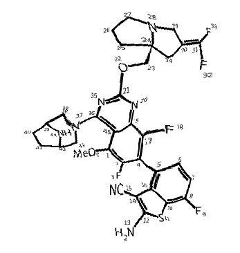 COc1c(F)c(-c2ccc(F)c3sc(N)c(C#N)c23)c(F)c2nc(OC[C@@]34CCCN3CC(=C(F)F)C4)nc(N3CC4CCC(C3)N4)c12